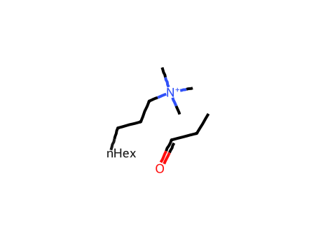 CCC=O.CCCCCCCCC[N+](C)(C)C